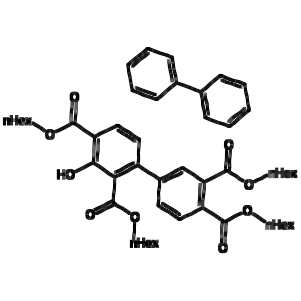 CCCCCCOC(=O)c1ccc(-c2ccc(C(=O)OCCCCCC)c(O)c2C(=O)OCCCCCC)cc1C(=O)OCCCCCC.c1ccc(-c2ccccc2)cc1